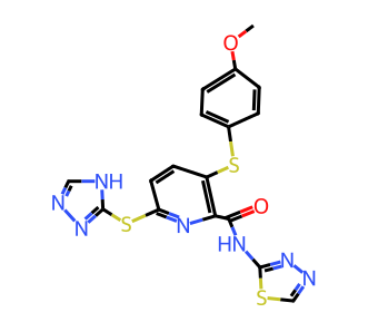 COc1ccc(Sc2ccc(Sc3nnc[nH]3)nc2C(=O)Nc2nncs2)cc1